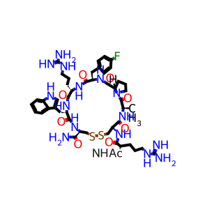 CC(=O)N[C@@H](CCCNC(=N)N)C(=O)N[C@H]1CSSC[C@@H](C(N)=O)NC(=O)[C@H](Cc2c[nH]c3ccccc23)NC(=O)[C@H](CCCNC(=N)N)NC(=O)[C@@H](Cc2ccc(F)cc2)NC(=O)[C@@H]2CCCN2C(=O)[C@@H](C)NC1=O